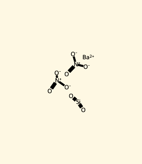 O=[N+]([O-])[O-].O=[N+]([O-])[O-].O=[Si]=O.[Ba+2]